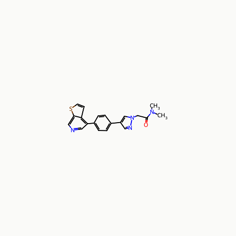 CN(C)C(=O)Cn1cc(-c2ccc(-c3cncc4sccc34)cc2)cn1